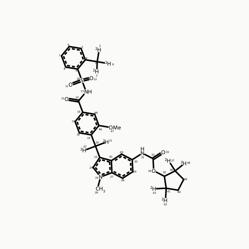 [2H]C([2H])([2H])c1ccccc1S(=O)(=O)NC(=O)c1ccc(C([2H])([2H])c2cn(C)c3ccc(NC(=O)OC4C([2H])([2H])CCC4([2H])[2H])cc23)c(OC)c1